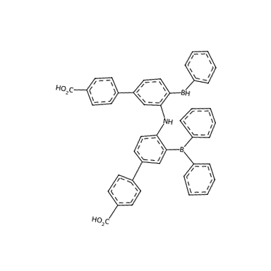 O=C(O)c1ccc(-c2ccc(Bc3ccccc3)c(Nc3ccc(-c4ccc(C(=O)O)cc4)cc3B(c3ccccc3)c3ccccc3)c2)cc1